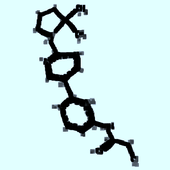 CC1(C)CCCN1c1ncc(-c2nccc(NC(=O)CCl)n2)cn1